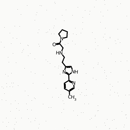 Cc1ccc(-c2nc(CCNCC(=O)N3CCCC3)c[nH]2)nc1